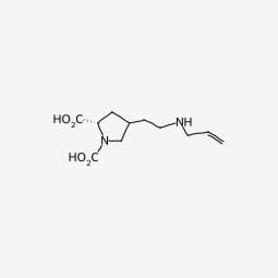 C=CCNCCC1C[C@@H](C(=O)O)N(C(=O)O)C1